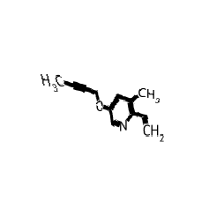 C=Cc1ncc(OCC#CC)cc1C